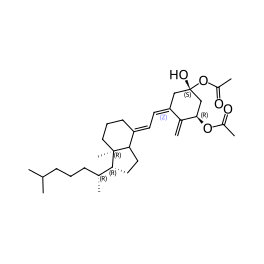 C=C1/C(=C\C=C2CCC[C@@]3(C)C2CC[C@@H]3[C@H](C)CCCC(C)C)C[C@](O)(OC(C)=O)C[C@H]1OC(C)=O